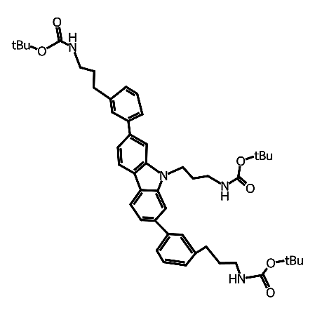 CC(C)(C)OC(=O)NCCCc1cccc(-c2ccc3c4ccc(-c5cccc(CCCNC(=O)OC(C)(C)C)c5)cc4n(CCCNC(=O)OC(C)(C)C)c3c2)c1